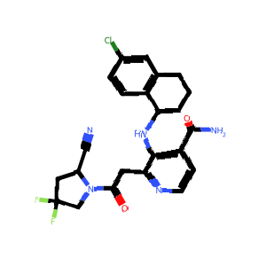 N#CC1CC(F)(F)CN1C(=O)Cc1nccc(C(N)=O)c1NC1CCCc2cc(Cl)ccc21